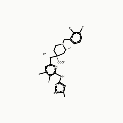 Cc1cc(Nc2nc(C[C@@]3(C(=O)[O-])CCN(Cc4cccc(Cl)c4F)[C@H](C)C3)cc(C)c2F)n[nH]1.[K+]